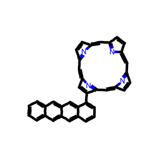 C1=CC2=NC1=CC1=NC(=CC3=NC(=CC4=NC(=C2)C=C4)C=C3c2cccc3cc4cc5ccccc5cc4cc23)C=C1